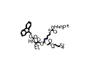 CCCCCCCC(=O)SCC/C=C/[C@H](CC(=O)OCC[Si](C)(C)C)OC(=O)[C@H](CC)NC(=O)OCC1c2ccccc2-c2ccccc21